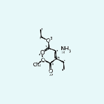 CCOC(=O)/C=C(/CC)C(=O)OCl.N